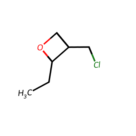 CCC1OCC1CCl